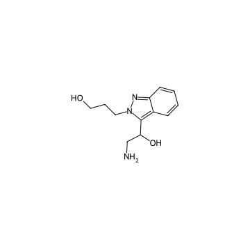 NCC(O)c1c2ccccc2nn1CCCO